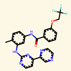 Cc1ccc(NC(=O)c2cccc(OCC(F)(F)F)c2)cc1Nc1nccc(-c2cnccn2)n1